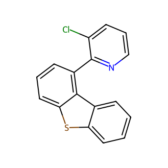 Clc1cccnc1-c1cccc2sc3ccccc3c12